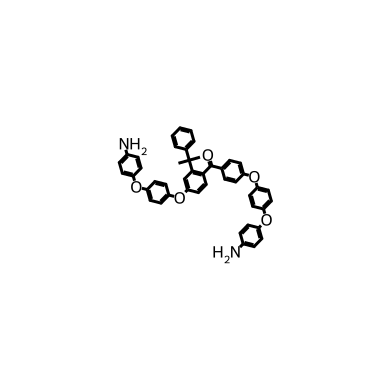 CC(C)(c1ccccc1)c1cc(Oc2ccc(Oc3ccc(N)cc3)cc2)ccc1C(=O)c1ccc(Oc2ccc(Oc3ccc(N)cc3)cc2)cc1